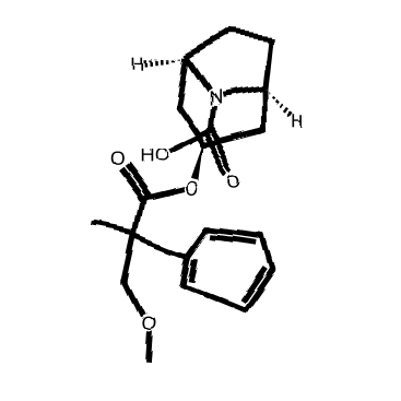 COCC(C)(C(=O)O[C@H]1C[C@H]2CC[C@@H](C1)N2C(=O)O)c1ccccc1